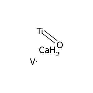 [CaH2].[O]=[Ti].[V]